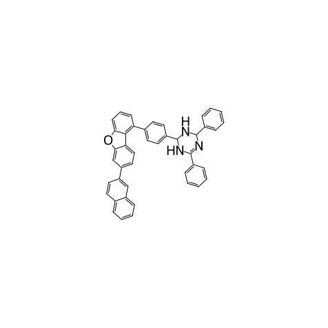 c1ccc(C2=NC(c3ccccc3)NC(c3ccc(-c4cccc5oc6cc(-c7ccc8ccccc8c7)ccc6c45)cc3)N2)cc1